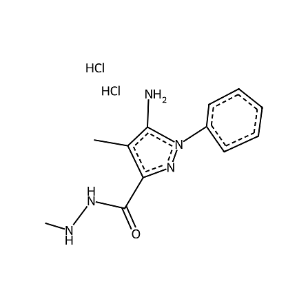 CNNC(=O)c1nn(-c2ccccc2)c(N)c1C.Cl.Cl